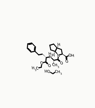 CCO.CCOC(=O)[C@H](CCc1ccccc1)N[C@@H](C)C(=O)N1[C@H](C(=O)O)C[C@@H]2CCC[C@@H]21